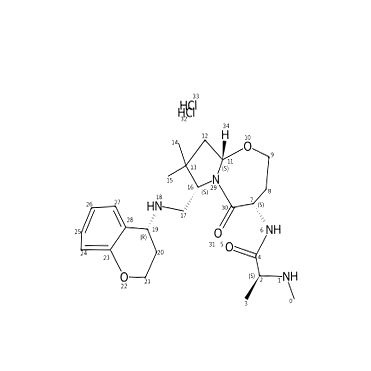 CN[C@@H](C)C(=O)N[C@H]1CCO[C@H]2CC(C)(C)[C@@H](CN[C@@H]3CCOc4ccccc43)N2C1=O.Cl.Cl